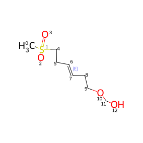 CS(=O)(=O)CC/C=C/CCOCO